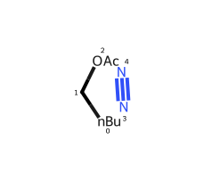 CCCCCOC(C)=O.N#N